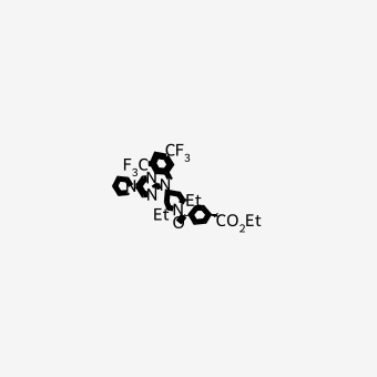 CCOC(=O)C[C@H]1CC[C@H](C(=O)N2[C@H](CC)C[C@H](N(Cc3cc(C(F)(F)F)cc(C(F)(F)F)c3)c3ncc(N4CCCCC4)cn3)C[C@@H]2CC)CC1